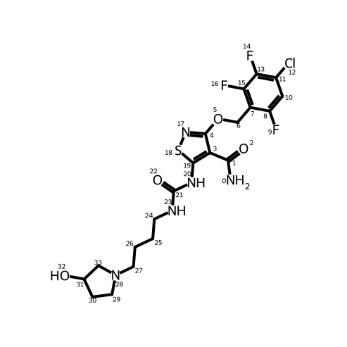 NC(=O)c1c(OCc2c(F)cc(Cl)c(F)c2F)nsc1NC(=O)NCCCCN1CCC(O)C1